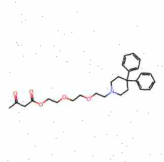 CC(=O)CC(=O)OCCOCCOCCN1CCC(c2ccccc2)(c2ccccc2)CC1